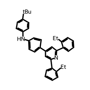 CCc1ccccc1-c1cc(-c2ccc(Nc3ccc(C(C)(C)C)cc3)cc2)cc(-c2ccccc2CC)n1